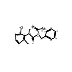 Cc1cccc(Cl)c1N(C)C(=O)N(Cc1ccccc1)C(=N)N